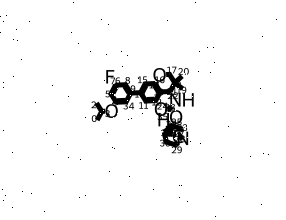 CC(C)Oc1cc(F)cc(-c2ccc3c(c2)OCC(C)(C)C3NC(=O)O[C@H]2CN3CCC2CC3)c1